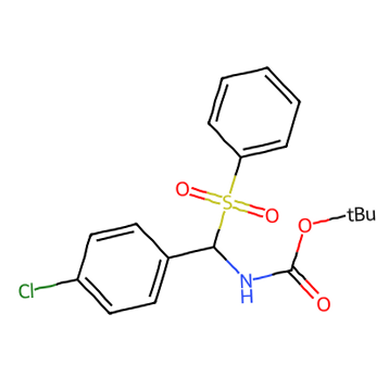 CC(C)(C)OC(=O)NC(c1ccc(Cl)cc1)S(=O)(=O)c1ccccc1